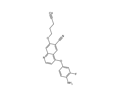 C#CCCCOc1cc2nccc(Oc3ccc(N)c(F)c3)c2cc1C#N